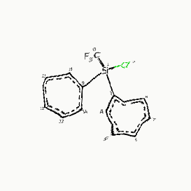 FC(F)(F)[Si](Cl)(c1ccccc1)c1ccccc1